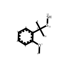 COc1ccccc1C(C)(C)SS